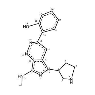 CNc1nn(C2CCNC2)c2cc(-c3ccccc3O)nnc12